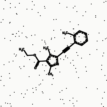 CCOC(=O)c1c(C)nc(C#Cc2ccccc2C)n1C